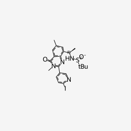 Cc1cc([C@@H](C)N[S+]([O-])C(C)(C)C)c2nc(-c3ccc(I)nc3)n(C)c(=O)c2c1